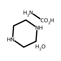 C1CNCCN1.NC(=O)O.O